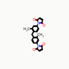 Cc1cc(N2C(=O)C=CC2=O)ccc1Cc1ccc(N2C(=O)C=CC2=O)cc1C